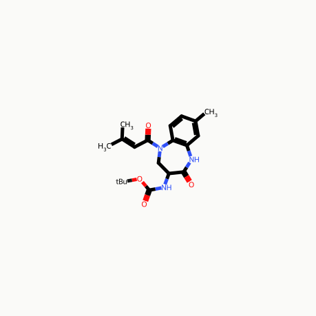 CC(C)=CC(=O)N1CC(NC(=O)OC(C)(C)C)C(=O)Nc2cc(C)ccc21